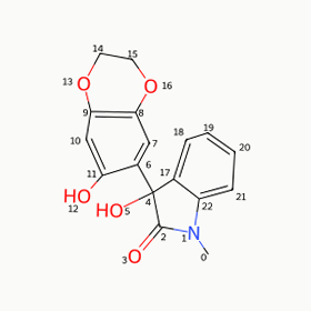 CN1C(=O)C(O)(c2cc3c(cc2O)OCCO3)c2ccccc21